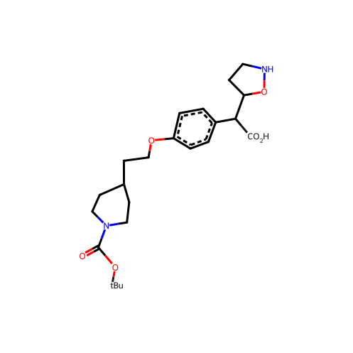 CC(C)(C)OC(=O)N1CCC(CCOc2ccc(C(C(=O)O)C3CCNO3)cc2)CC1